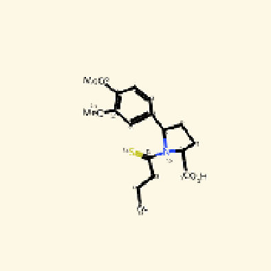 COc1ccc(C2CCC(C(=O)O)N2C(=S)CCC(C)=O)cc1OC